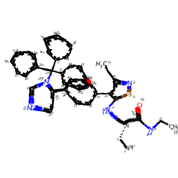 Cc1nsc(N[C@@H](CC(C)C)C(=O)NCC#N)c1-c1ccc(-c2cncn2C(c2ccccc2)(c2ccccc2)c2ccccc2)cc1